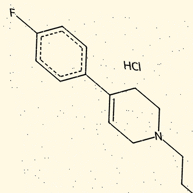 Cl.Fc1ccc(C2=CCN(CCCl)CC2)cc1